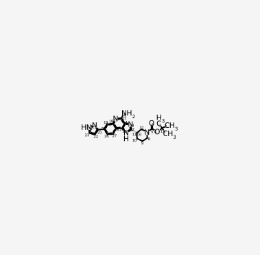 CC(C)(C)OC(=O)N1CCC[C@H](c2nc3c(N)nc4cc(-c5cc[nH]n5)ccc4c3[nH]2)C1